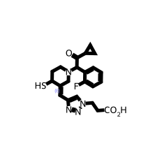 O=C(O)CCn1cc(/C=C2\CN(C(C(=O)C3CC3)c3ccccc3F)CCC2S)nn1